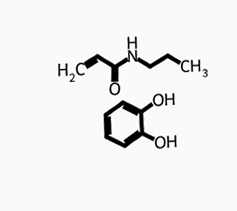 C=CC(=O)NCCC.Oc1ccccc1O